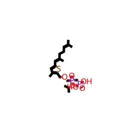 CC(C)=CCC/C(C)=C/c1cc(C)c(COCP(=O)(CP(=O)(O)O)OC(C)C)s1